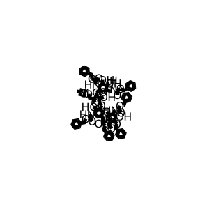 CC(C)(C)[Si](C)(C)OCC1OC(OC2C(O)C(NC(=O)OCc3ccccc3)CC(NC(=O)OCc3ccccc3)C2OC2OC3COC(c4ccccc4)OC3C(O)C2NC(=O)OCc2ccccc2)C(O)C1OC1OC(CNC(=O)OCc2ccccc2)C(O)C(O)C1NC(=O)OCc1ccccc1